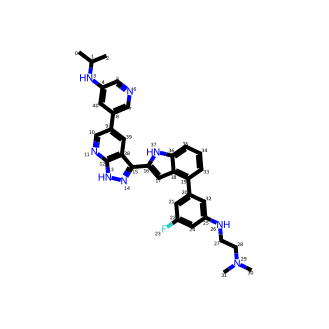 CC(C)Nc1cncc(-c2cnc3[nH]nc(-c4cc5c(-c6cc(F)cc(NCCN(C)C)c6)cccc5[nH]4)c3c2)c1